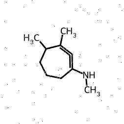 CNC1=C=C(C)C(C)CCC1